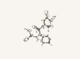 COC(=O)C1Cc2ccccc2N1C(=O)c1ccc(Cl)c(Cl)c1